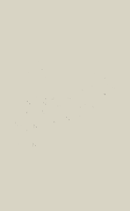 CNC(C)C(=O)Nc1cnc(-c2ccc(F)cc2)n(Cc2cncc(-c3ccc4c(c3)OCO4)c2)c1=O